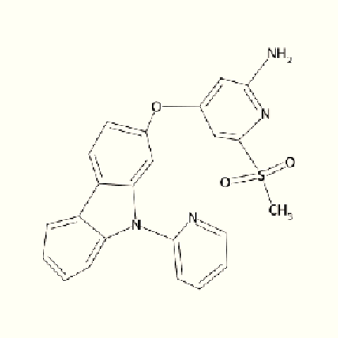 CS(=O)(=O)c1cc(Oc2ccc3c4ccccc4n(-c4ccccn4)c3c2)cc(N)n1